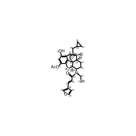 CC(=O)Oc1cc(O)c2c3c1O[C@@H]1[C@H](N(CC(C)C)C(=O)C=Cc4ccoc4)CC[C@H]4[C@@H](C2)N(CC2CC2)CC[C@]314